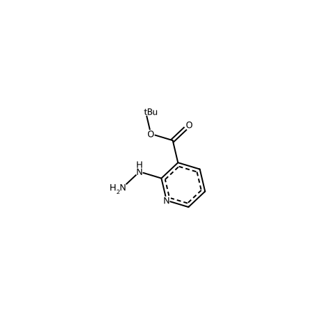 CC(C)(C)OC(=O)c1cccnc1NN